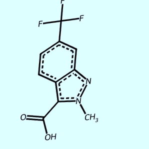 Cn1nc2cc(C(F)(F)F)ccc2c1C(=O)O